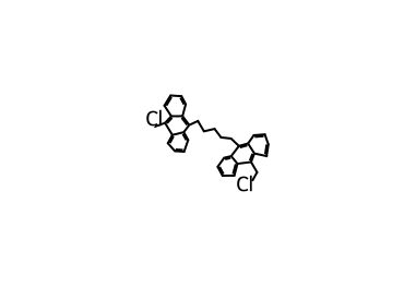 ClCc1c2ccccc2c(CCCCCc2c3ccccc3c(CCl)c3ccccc23)c2ccccc12